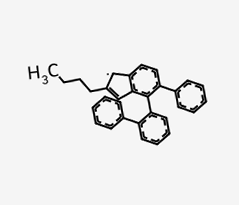 CCCCC1=Cc2c(ccc(-c3ccccc3)c2-c2ccccc2-c2ccccc2)[CH]1